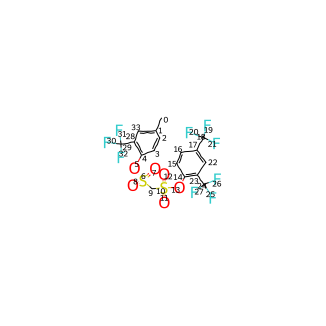 Cc1ccc(OS(=O)(=O)CS(=O)(=O)Oc2ccc(C(F)(F)F)cc2C(F)(F)F)c(C(F)(F)F)c1